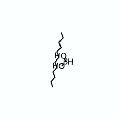 CCCCCCCCCCCC.OBO